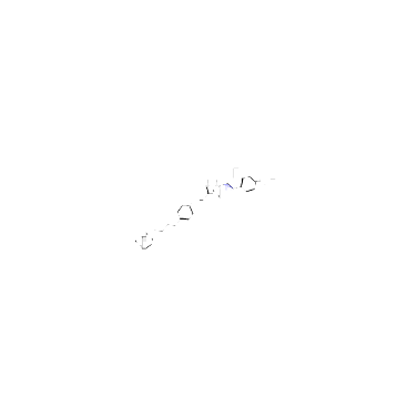 Fc1cc(C(F)(F)F)ccc1/C=C/c1nc(COc2ccc(CCCCn3ccnc3)cc2)co1